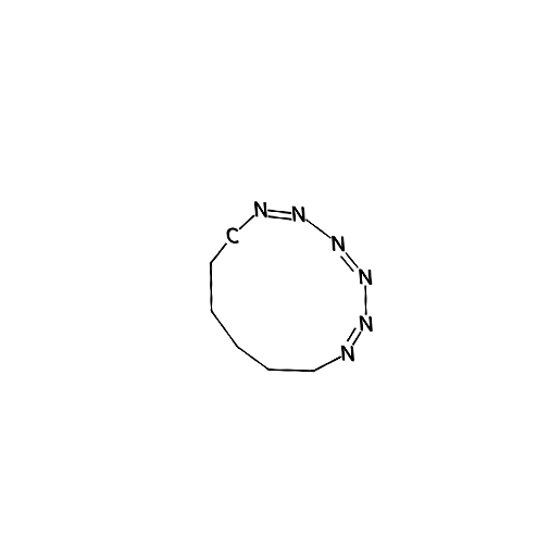 C1CCCN=NN=NN=NCC1